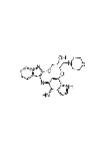 N=C1/C(=N/c2c(OCCO)nn3ccccc23)C=C(OCCN2CCOCC2)c2[nH]ccc21